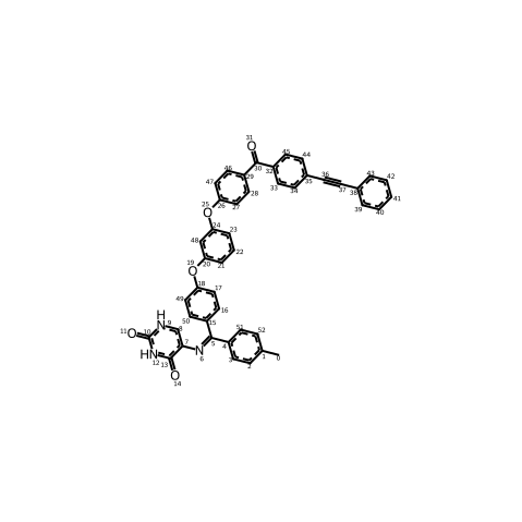 Cc1ccc(C(=Nc2c[nH]c(=O)[nH]c2=O)c2ccc(Oc3cccc(Oc4ccc(C(=O)c5ccc(C#Cc6ccccc6)cc5)cc4)c3)cc2)cc1